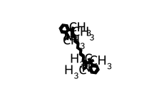 CN1C(=CC=CCCC=C/C=C2/N(C)c3ccccc3C2(C)C)C(C)(C)c2ccccc21